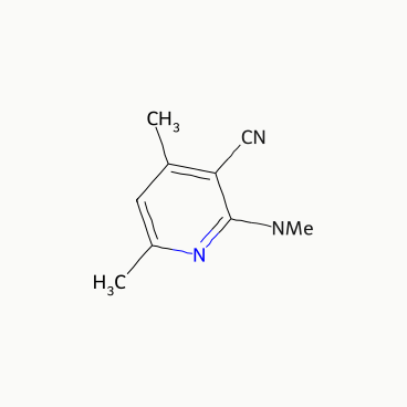 CNc1nc(C)cc(C)c1C#N